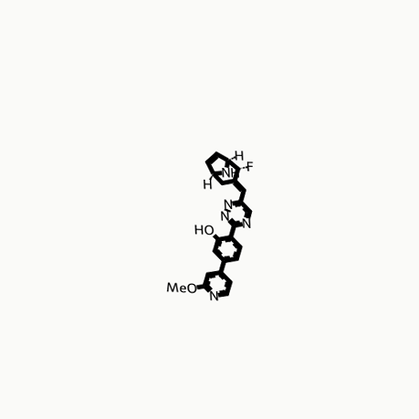 COc1cc(-c2ccc(-c3ncc(/C=C4\C[C@H]5C=C[C@H](N5)[C@@H]4F)nn3)c(O)c2)ccn1